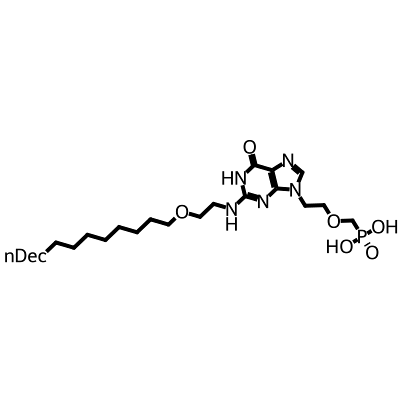 CCCCCCCCCCCCCCCCCCOCCNc1nc2c(ncn2CCOCP(=O)(O)O)c(=O)[nH]1